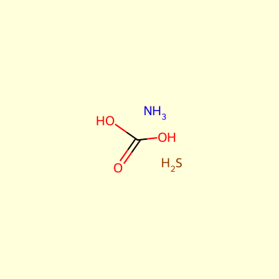 N.O=C(O)O.S